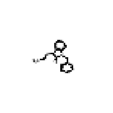 C=CCC1C(=O)N(Cc2ccccc2)c2ccccc21